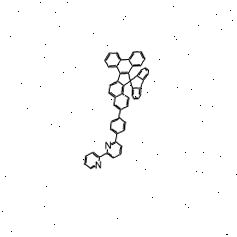 c1ccc(-c2cccc(-c3ccc(-c4ccc5c6c(ccc5c4)-c4c(c5ccccc5c5ccccc45)C64c5ccccc5-c5ccccc54)cc3)n2)nc1